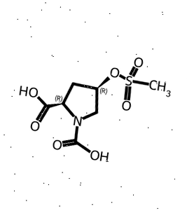 CS(=O)(=O)O[C@@H]1C[C@H](C(=O)O)N(C(=O)O)C1